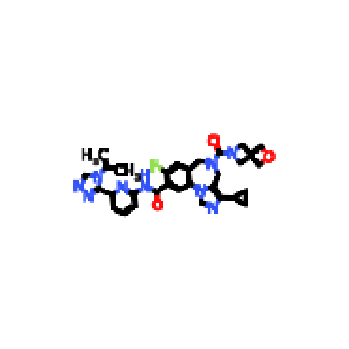 CC(C)n1cnnc1-c1cccc(NC(=O)c2cc3c(cc2F)CN(C(=O)N2CC4(COC4)C2)Cc2c(C4CC4)ncn2-3)n1